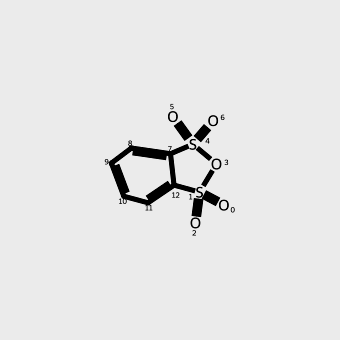 O=S1(=O)OS(=O)(=O)c2ccccc21